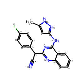 Cc1cc(Nc2nc(C(C#N)c3ccc(F)cc3)nc3ccccc23)n[nH]1